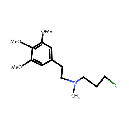 COc1cc(CCN(C)CCCCl)cc(OC)c1OC